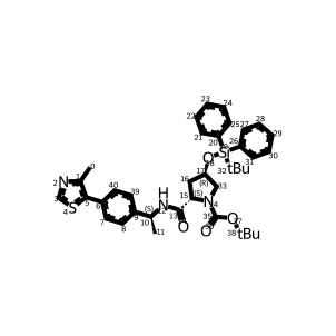 Cc1ncsc1-c1ccc([C@H](C)NC(=O)[C@@H]2C[C@@H](O[Si](c3ccccc3)(c3ccccc3)C(C)(C)C)CN2C(=O)OC(C)(C)C)cc1